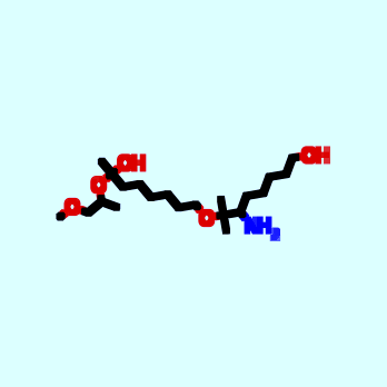 COCC(C)OC(C)(O)CCCCCCOC(C)(C)C(N)CCCCCO